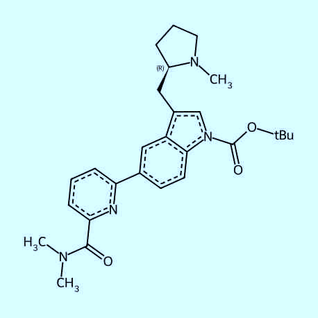 CN(C)C(=O)c1cccc(-c2ccc3c(c2)c(C[C@H]2CCCN2C)cn3C(=O)OC(C)(C)C)n1